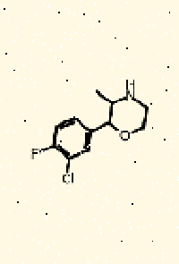 CC1NCCOC1c1ccc(F)c(Cl)c1